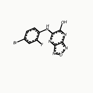 Oc1nc2nonc2nc1Nc1ccc(Br)cc1F